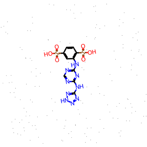 O=S(=O)(O)c1ccc(S(=O)(=O)O)c(Nc2ncnc(Nc3nn[nH]n3)n2)c1